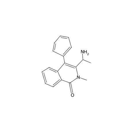 CC(N)c1c(-c2ccccc2)c2ccccc2c(=O)n1C